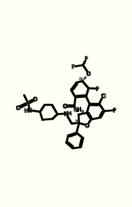 CS(=O)(=O)NC1CCC(NC[C@@]2(c3ccccc3)Cc3c(cc(F)c(Cl)c3C3=C(C(N)=O)C=C[C@H](OC(F)F)C3F)O2)CC1